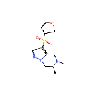 C[C@H]1Cn2ncc(S(=O)(=O)C3CCOC3)c2CN1C